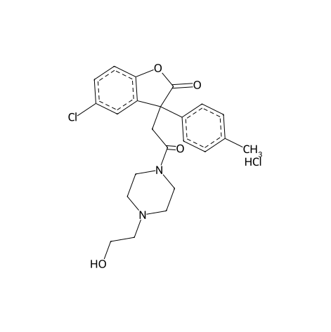 Cc1ccc(C2(CC(=O)N3CCN(CCO)CC3)C(=O)Oc3ccc(Cl)cc32)cc1.Cl